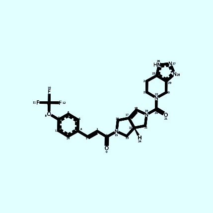 O=C(/C=C/c1ccc(OC(F)(F)F)cc1)N1CC2=CN(C(=O)N3CCc4[nH]nnc4C3)C[C@@H]2C1